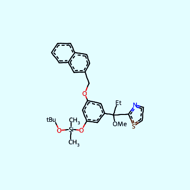 CCC(OC)(c1cc(OCc2ccc3ccccc3c2)cc(O[Si](C)(C)OC(C)(C)C)c1)c1nccs1